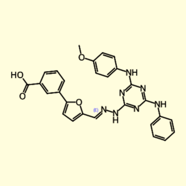 COc1ccc(Nc2nc(N/N=C/c3ccc(-c4cccc(C(=O)O)c4)o3)nc(Nc3ccccc3)n2)cc1